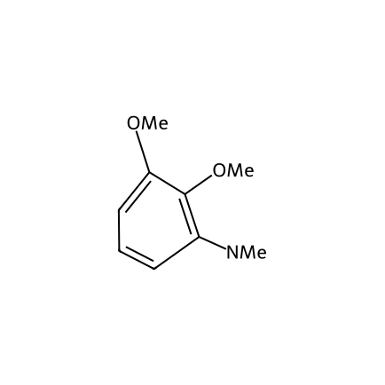 CNc1cccc(OC)c1OC